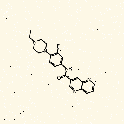 CCN1CCN(c2ccc(NC(=O)c3cnc4cccnc4c3)cc2F)CC1